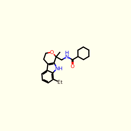 CCc1cccc2c3c([nH]c12)C(C)(CNC(=O)C1CCCCC1)OCC3